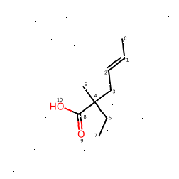 CC=CCC(C)(CC)C(=O)O